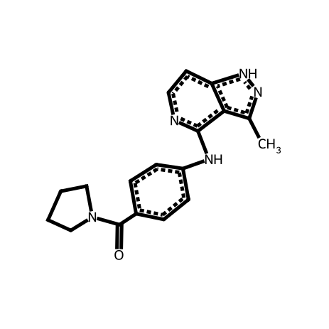 Cc1n[nH]c2ccnc(Nc3ccc(C(=O)N4CCCC4)cc3)c12